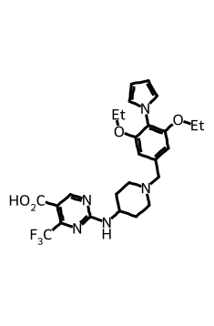 CCOc1cc(CN2CCC(Nc3ncc(C(=O)O)c(C(F)(F)F)n3)CC2)cc(OCC)c1-n1cccc1